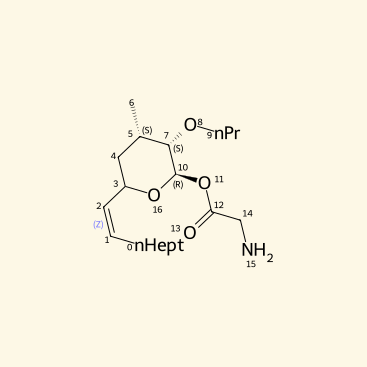 CCCCCCC/C=C\C1C[C@H](C)[C@H](OCCC)[C@@H](OC(=O)CN)O1